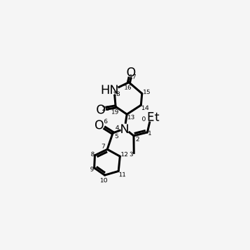 CC/C=C(/C)N(C(=O)C1=CC=CCC1)C1CCC(=O)NC1=O